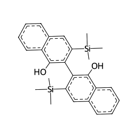 C[Si](C)(C)c1cc2ccccc2c(O)c1-c1c([Si](C)(C)C)cc2ccccc2c1O